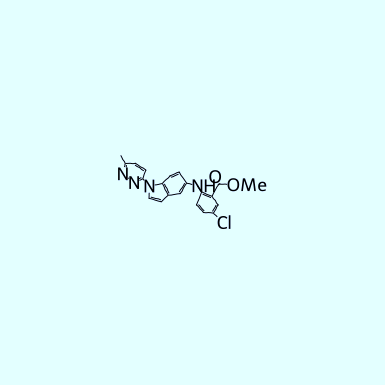 COC(=O)c1cc(Cl)ccc1Nc1ccc2c(ccn2-c2ccc(C)nn2)c1